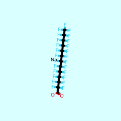 O=C([O-])C(F)(F)C(F)(F)C(F)(F)C(F)(F)C(F)(F)C(F)(F)C(F)(F)C(F)(F)C(F)(F)C(F)(F)C(F)(F)C(F)(F)F.[Na+]